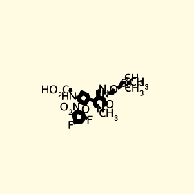 Cn1cc(-c2ccc(NCC(=O)O)c([N+](=O)[O-])c2Oc2ccc(F)cc2F)c2cnn(COCC[Si](C)(C)C)c2c1=O